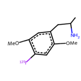 COc1cc(CC(C)N)c(OC)cc1[125I]